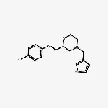 Clc1ccc(OCC2CN(Cc3cc[nH]c3)CCO2)cc1